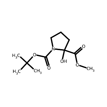 COC(=O)C1(O)CCCN1C(=O)OC(C)(C)C